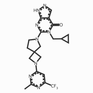 Cc1nc(N2CC3(CCN(c4nc5[nH]ncc5c(=O)n4CC4CC4)C3)C2)cc(C(F)(F)F)n1